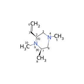 C=C[C@H]1CN(C)C[C@@H](C)N1C